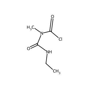 CCNC(=O)N(C)C(=O)Cl